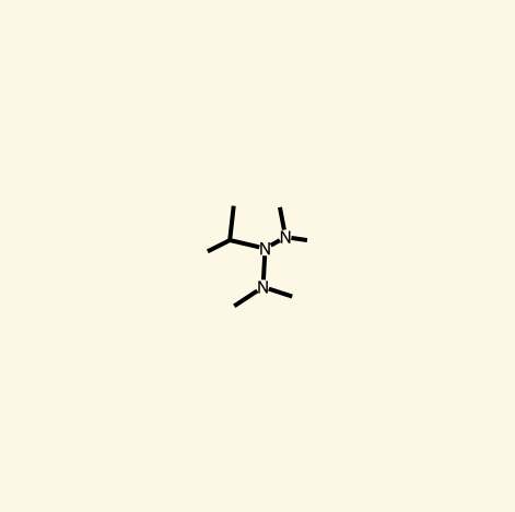 CC(C)N(N(C)C)N(C)C